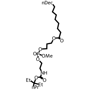 CCCCCCCCCCCCCCCCCC(=O)OCCCOP(=O)(OC)OCCNC(=O)OC(CC)(CC)CCC